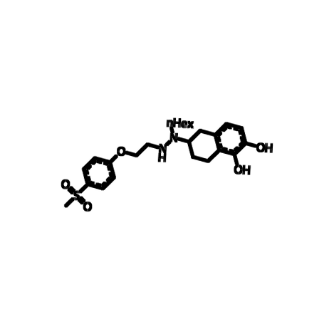 CCCCCCN(NCCOc1ccc(S(C)(=O)=O)cc1)C1CCc2c(ccc(O)c2O)C1